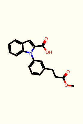 COC(=O)CCc1cccc(-n2c(C(=O)O)cc3ccccc32)c1